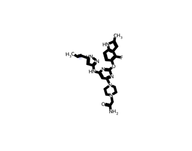 C/C=C/c1cc(Nc2cc(N3CCN(CC(N)=O)CC3)nc(Oc3ccc4[nH]c(C)cc4c3F)n2)n[nH]1